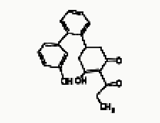 CCC(=O)C1=C(O)CC(c2ccccc2-c2cccc(O)c2)CC1=O